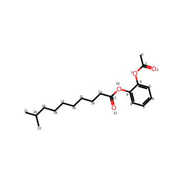 CC(=O)Oc1ccccc1OC(=O)CCCCCCCC(C)C